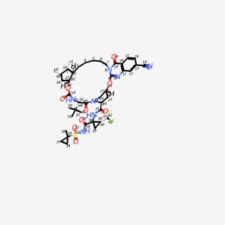 C[C@@H]1[C@H]2CCCCCn3c(nc4cc(C#N)ccc4c3=O)O[C@@H]3C[C@@H](C(=O)N[C@]4(C(=O)NS(=O)(=O)C5(C)CC5)C[C@H]4C(F)F)N(C3)C(=O)[C@H](C(C)(C)C)NC(=O)O[C@@H]2C[C@@H]1C